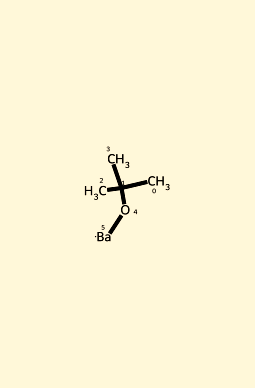 CC(C)(C)[O][Ba]